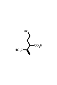 C=C(C(=O)O)C(CCO)C(=O)O